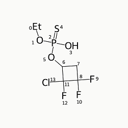 CCOP(O)(=S)OC1CC(F)(F)C1(F)Cl